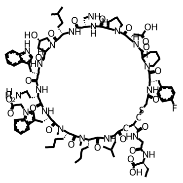 CCCC[C@H]1C(=O)N(C)[C@@H](CCCC)C(=O)N[C@@H](CC(C)C)C(=O)C[C@H](C(=O)NCC(=O)N[C@@H](CC)C(=O)O)CSCC(=O)N[C@@H](Cc2ccc(F)cc2)C(=O)N2CCCC[C@H]2C(=O)N[C@@H](CC(=O)O)C(=O)N2CCC[C@H]2C(=O)N[C@@H](CN)C(=O)N[C@@H](CCC(C)C)C(=O)N2C[C@H](O)C[C@H]2C(=O)N[C@@H](Cc2c[nH]c3ccccc23)C(=O)N[C@@H](CCN)C(=O)N[C@@H](Cc2cn(CC(=O)O)c3ccccc23)C(=O)N1C